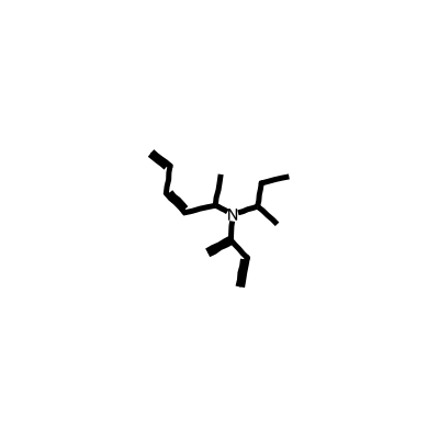 C=C/C=C\C(C)N(C(=C)C=C)C(C)CC